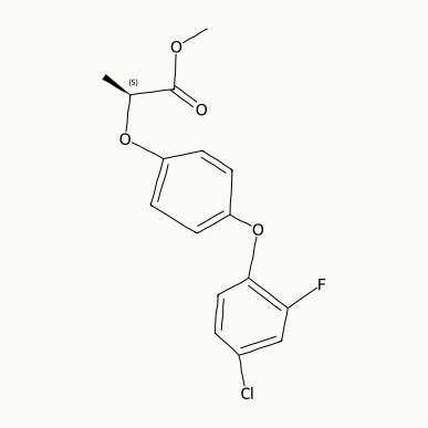 COC(=O)[C@H](C)Oc1ccc(Oc2ccc(Cl)cc2F)cc1